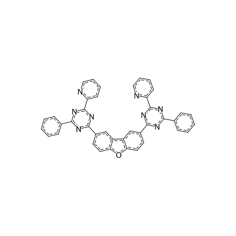 c1ccc(-c2nc(-c3ccc4oc5ccc(-c6nc(-c7ccccc7)nc(-c7ccccn7)n6)cc5c4c3)nc(-c3ccccn3)n2)cc1